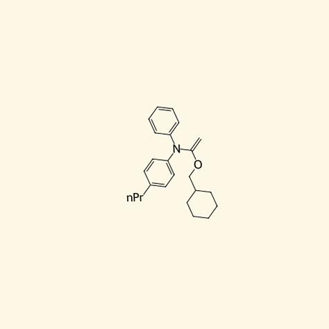 C=C(OCC1CCCCC1)N(c1ccccc1)c1ccc(CCC)cc1